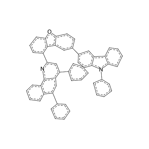 c1ccc(-c2cc3c(-c4ccccc4)cc(-c4cccc5oc6ccc(-c7ccc8c(c7)c7ccccc7n8-c7ccccc7)cc6c45)nc3c3ccccc23)cc1